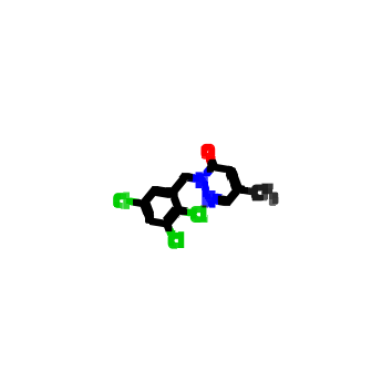 O=c1cc(C(F)(F)F)cnn1Cc1cc(Cl)cc(Cl)c1Cl